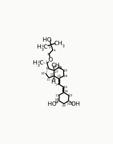 C[C@H](OCCC(C)(C)O)[C@H]1CC[C@H]2/C(=C/C=C3C[C@@H](O)C[C@H](O)C3)CCC[C@@]12C